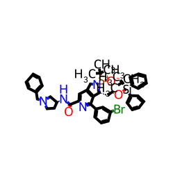 CC(C)(C)[S+]([O-])N1Cc2cc(C(=O)N[C@@H]3CCN(Cc4ccccc4)C3)nc(-c3cccc(Br)c3)c2[C@H]1CCO[Si](c1ccccc1)(c1ccccc1)C(C)(C)C